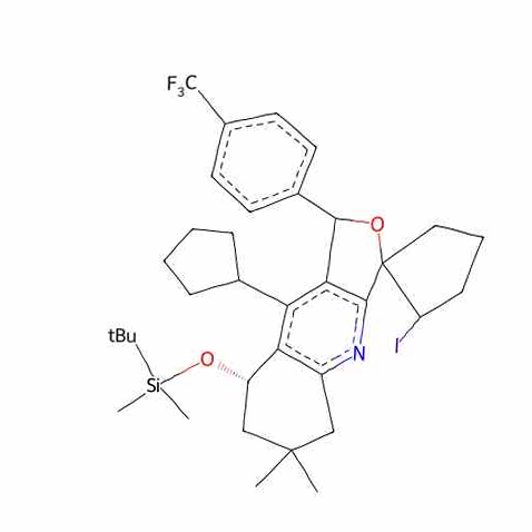 CC1(C)Cc2nc3c(c(C4CCCC4)c2[C@@H](O[Si](C)(C)C(C)(C)C)C1)C(c1ccc(C(F)(F)F)cc1)OC31CCCC1I